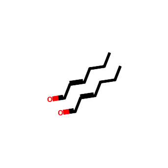 CCCC=CC=O.CCCC=CC=O